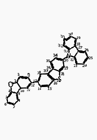 C1=CC2Oc3ccccc3C2C=C1c1ccc2sc3cc(-n4c5ccccc5c5ccccc54)ccc3c2c1